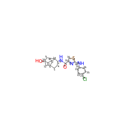 O=C(N[C@H]1CCC2CC3C[C@@](O)(C2)CC31)c1csc(Nc2ccc(Cl)cc2)n1